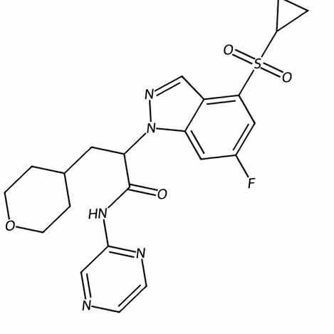 O=C(Nc1cnccn1)C(CC1CCOCC1)n1ncc2c(S(=O)(=O)C3CC3)cc(F)cc21